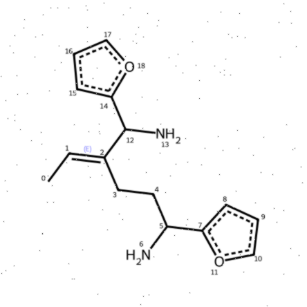 C/C=C(\CCC(N)c1ccco1)C(N)c1ccco1